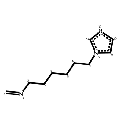 C=NCCCCCCn1ccnc1